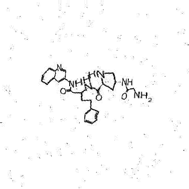 NCC(=O)N[C@H]1CN[C@H](C(=O)NC(CCc2ccccc2)C(=O)Nc2cnc3ccccc3c2)C1